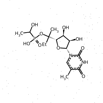 CCC(C)(OP(=O)(O)C(C)O)[C@H]1O[C@@H](n2cc(C)c(=O)[nH]c2=O)[C@H](O)[C@@H]1O